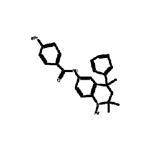 CCCc1ccc(C(=O)Nc2ccc3c(c2)C(C)(c2ccccc2)CC(C)(C)N3C(C)=O)cc1